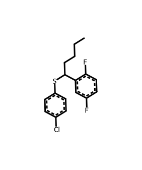 CCCCC(Sc1ccc(Cl)cc1)c1cc(F)ccc1F